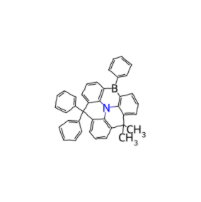 CC1(C)c2cccc3c2N2c4c(cccc4C(c4ccccc4)(c4ccccc4)c4cccc1c42)B3c1ccccc1